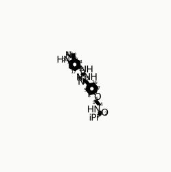 CC(C)C(=O)NCCOc1ccc(-c2nnc(Nc3ccc4[nH]ncc4c3)[nH]2)cc1